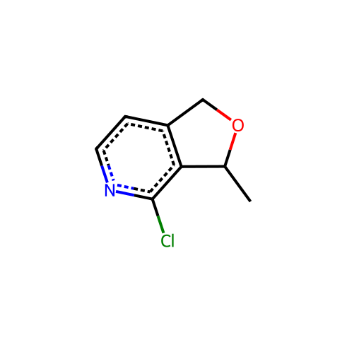 CC1OCc2ccnc(Cl)c21